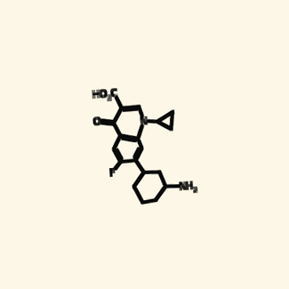 NC1CCCC(c2cc3c(cc2F)c(=O)c(C(=O)O)cn3C2CC2)C1